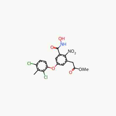 COC(=O)Cc1cc(Oc2ccc(Cl)c(C)c2Cl)cc(C(=O)NO)c1[N+](=O)[O-]